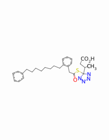 CC(CC(=O)O)C1(SC(=O)Cc2ccccc2CCCCCCCCc2ccccc2)N=NN=N1